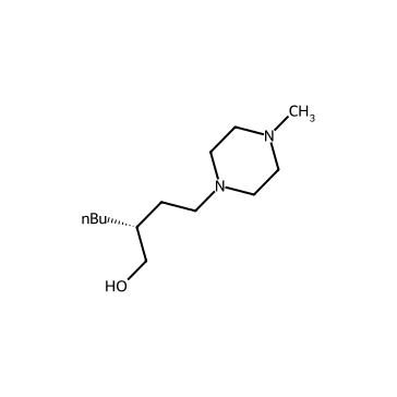 CCCC[C@@H](CO)CCN1CCN(C)CC1